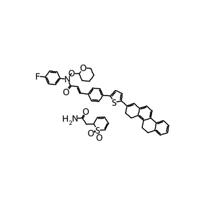 NC(=O)CC1C=CC=CS1(=O)=O.O=C(C=Cc1ccc(-c2ccc(C3=Cc4ccc5c(c4CC3)CCc3ccccc3-5)s2)cc1)N(OC1CCCCO1)c1ccc(F)cc1